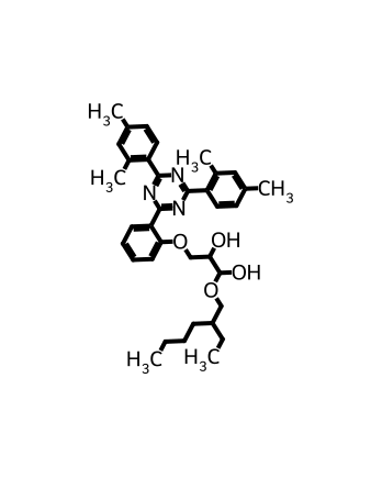 CCCCC(CC)COC(O)C(O)COc1ccccc1-c1nc(-c2ccc(C)cc2C)nc(-c2ccc(C)cc2C)n1